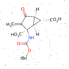 C=C1C(=O)[C@H]2[C@H](C(=O)O)[C@H]2[C@]1(NC(=O)OC(C)(C)C)C(=O)O